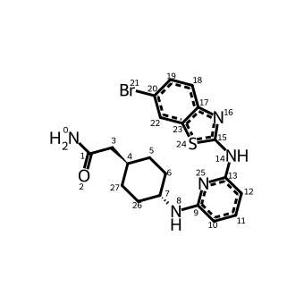 NC(=O)C[C@H]1CC[C@H](Nc2cccc(Nc3nc4ccc(Br)cc4s3)n2)CC1